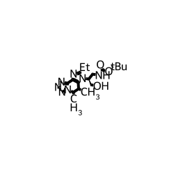 CCc1nc2c(n1[C@H](CO)CNC(=O)OC(C)(C)C)C(C)C(C)n1nnnc1-2